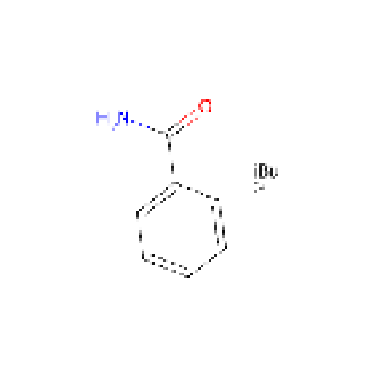 CC[C@H](C)c1ccccc1C(N)=O